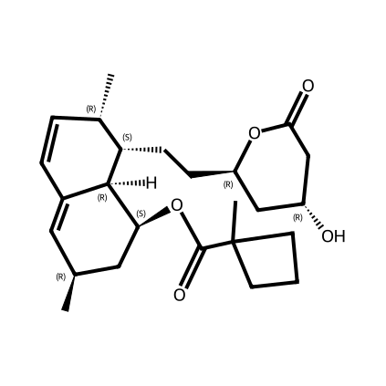 C[C@H]1C=C2C=C[C@H](C)[C@H](CC[C@@H]3C[C@@H](O)CC(=O)O3)[C@H]2[C@@H](OC(=O)C2(C)CCC2)C1